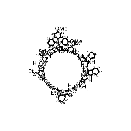 CCO[C@@H]1C[C@H]2C(=O)N(C)[C@@H](Cc3cscn3)C(=O)N(C)[C@@H](C)C(=O)N(C)C(COC(c3ccccc3)(c3ccc(OC)cc3)c3ccc(OC)cc3)C(=O)N3C[C@H](OCC)C[C@H]3C(=O)N[C@@H](Cc3c[nH]c4ccccc34)C(=O)N[C@@H](Cc3c[nH]c4ccccc34)C(=O)N3CCC[C@H]3C(=O)N(C)CC(=O)N[C@H](C(=O)N3CCCCC3)CC(=O)N(CC)CCCCC(=O)N2C1